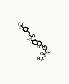 CCC(=O)N[C@@H]1CCN(c2ccc3cc(NC(=O)CCc4ccc(C(F)(F)F)cc4)ccc3n2)C1